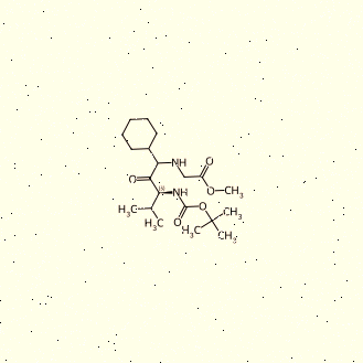 COC(=O)CNC(C(=O)[C@@H](NC(=O)OC(C)(C)C)C(C)C)C1CCCCC1